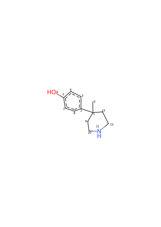 CC1(c2ccc(O)cc2)CCNCC1